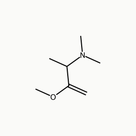 C=C(OC)C(C)N(C)C